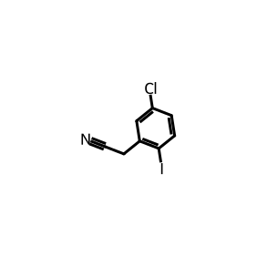 N#CCc1cc(Cl)ccc1I